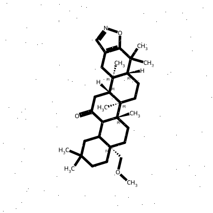 COC[C@]12CCC(C)(C)CC1C1C(=O)C[C@@H]3[C@@]4(C)Cc5cnoc5C(C)(C)[C@@H]4CC[C@@]3(C)[C@]1(C)CC2